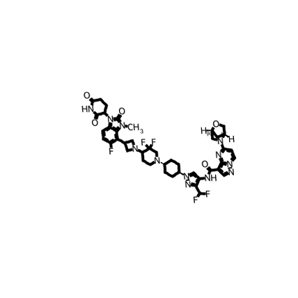 Cn1c(=O)n(C2CCC(=O)NC2=O)c2ccc(F)c(C3CN(C4CCN([C@H]5CC[C@H](n6cc(NC(=O)c7cnn8ccc(N9C[C@H]%10C[C@@H]9CO%10)nc78)c(C(F)F)n6)CC5)CC4(F)F)C3)c21